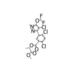 COC(=O)C(C)OC(=O)c1cc(-c2nn(C)c(OC(F)F)c2Cl)c(Cl)cc1Cl